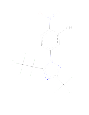 Cc1cc(-n2nc(C(F)(F)F)nc2C(F)(F)C(F)(F)F)ccc1[N+](=O)[O-]